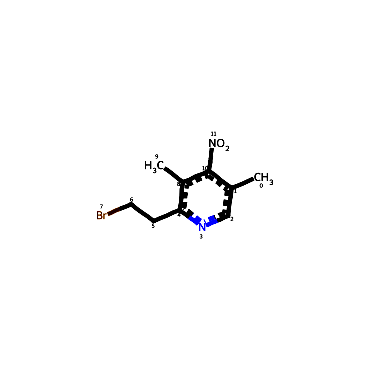 Cc1cnc(CCBr)c(C)c1[N+](=O)[O-]